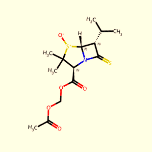 CC(=O)OCOC(=O)[C@@H]1N2C(=S)[C@@H](C(C)C)[C@H]2[S+]([O-])C1(C)C